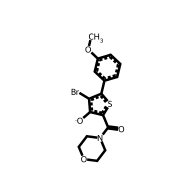 COc1cccc(-c2sc(C(=O)N3CCOCC3)c([O])c2Br)c1